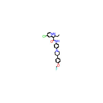 CCc1nn2ccc(Cl)cc2c1C(=O)Nc1ccc(N2CCC(c3ccc(OCF)cc3)CC2)cc1